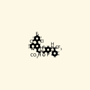 O=C(N[C@@H](Cc1ccc(-c2c(Cl)cc(F)cc2Cl)c2cccnc12)C(=O)O)c1c(F)cc(N[C@H](c2ccccc2)C(F)(F)F)cc1F